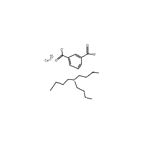 CCCCP(CCCC)CCCC.O.O=C([O-])c1cccc(C(=O)[O-])c1.[Ca+2]